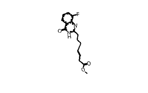 COC(=O)CCCCCCc1nc2c(F)cccc2c(=O)[nH]1